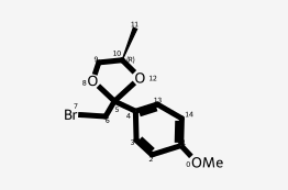 COc1ccc(C2(CBr)OC[C@@H](C)O2)cc1